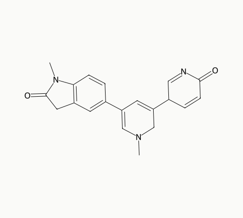 CN1C=C(c2ccc3c(c2)CC(=O)N3C)C=C(C2C=CC(=O)N=C2)C1